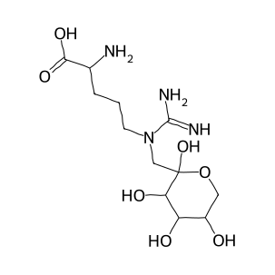 N=C(N)N(CCCC(N)C(=O)O)CC1(O)OCC(O)C(O)C1O